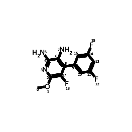 COc1nc(N)c(N)c(-c2cc(F)cc(F)c2)c1F